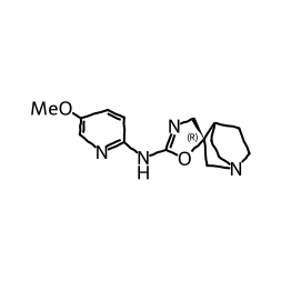 COc1ccc(NC2=NC[C@@]3(CN4CCC3CC4)O2)nc1